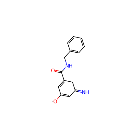 N=C1C=C([O])C=C(C(=O)NCc2ccccc2)C1